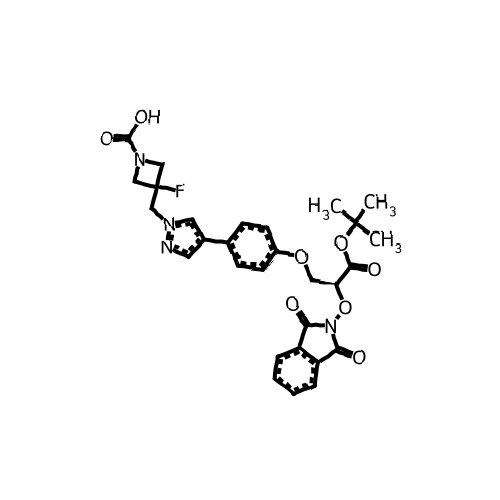 CC(C)(C)OC(=O)[C@H](COc1ccc(-c2cnn(CC3(F)CN(C(=O)O)C3)c2)cc1)ON1C(=O)c2ccccc2C1=O